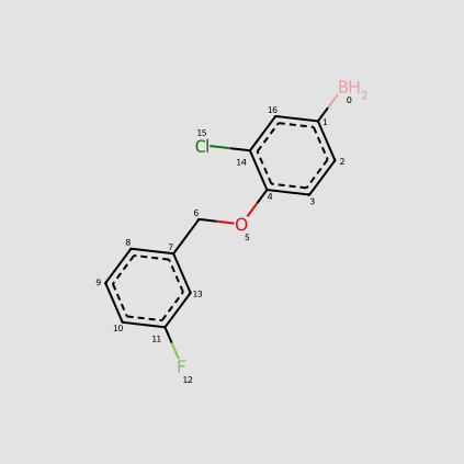 Bc1ccc(OCc2cccc(F)c2)c(Cl)c1